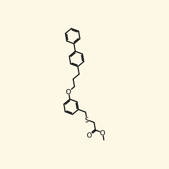 COC(=O)CSCc1cccc(OCCCc2ccc(-c3ccccc3)cc2)c1